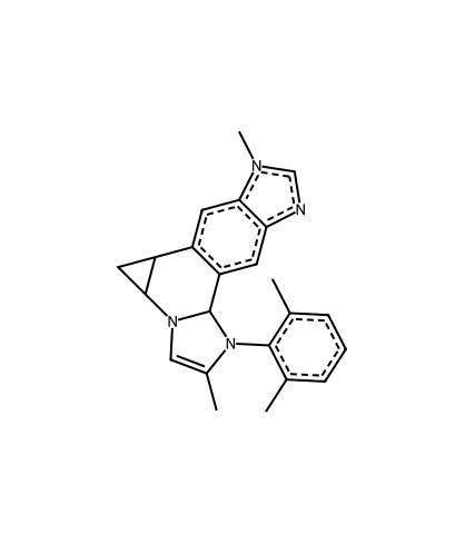 CC1=CN2C3CC3c3cc4c(cc3C2N1c1c(C)cccc1C)ncn4C